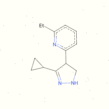 CCc1cccc(C2CNN=C2C2CC2)n1